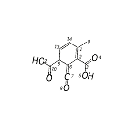 CC1=C(C(=O)O)C(=C=O)C(C(=O)O)C=C1